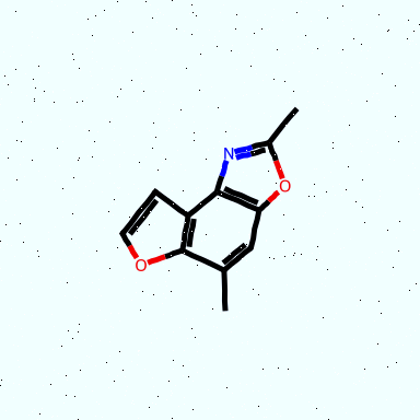 Cc1nc2c(cc(C)c3occc32)o1